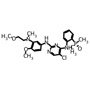 COCCN(C)c1cc(Nc2ncc(Cl)c(Nc3ccccc3P(C)(C)=O)n2)ccc1OC